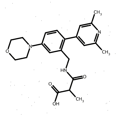 Cc1cc(-c2ccc(N3CCOCC3)cc2CNC(=O)C(C)C(=O)O)cc(C)n1